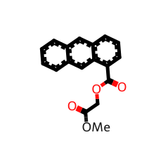 COC(=O)COC(=O)c1cccc2cc3ccccc3cc12